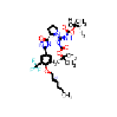 CCC/C=C/COc1ccc(-c2noc([C@@H]3CCCN3/C(=N/C(=O)OC(C)(C)C)NC(=O)OC(C)(C)C)n2)cc1C(F)(F)F